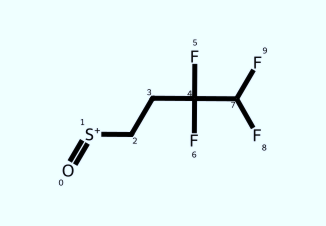 O=[S+]CCC(F)(F)C(F)F